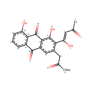 CCC(=O)/C=C(\O)c1c(CC(=O)OC)cc2c(c1O)C(=O)c1c(O)cccc1C2=O